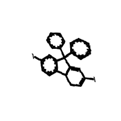 IC1=CCC2C(=C1)C(c1ccccc1)(c1ccccc1)c1cc(I)ccc12